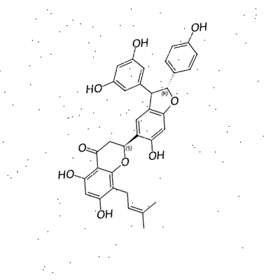 CC(C)=CCc1c(O)cc(O)c2c1O[C@H](c1cc3c(cc1O)O[C@@H](c1ccc(O)cc1)C3c1cc(O)cc(O)c1)CC2=O